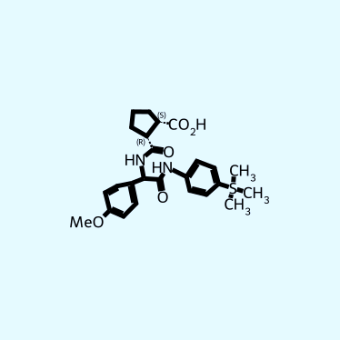 COc1ccc(C(NC(=O)[C@@H]2CCC[C@@H]2C(=O)O)C(=O)Nc2ccc(S(C)(C)C)cc2)cc1